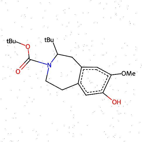 COc1cc2c(cc1O)CCN(C(=O)OC(C)(C)C)C(C(C)(C)C)C2